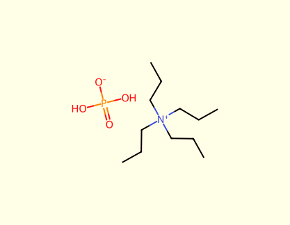 CCC[N+](CCC)(CCC)CCC.O=P([O-])(O)O